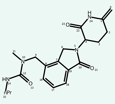 C=C1CCC(N2Cc3c(CN(C)C(=O)NCCC)cccc3C2=O)C(=O)N1